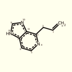 C=CCc1nccc2[nH]cnc12